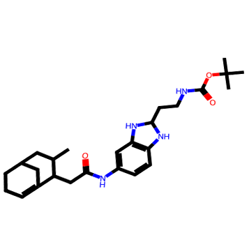 CC1CC2CCC=C(C2)C1CC(=O)Nc1ccc2c(c1)NC(CCNC(=O)OC(C)(C)C)N2